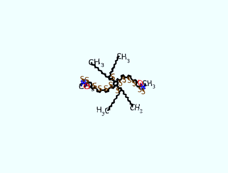 CCCCCCCCCCc1cc(-c2c3cc(-c4ccc(-c5ccc(-c6ccc(/C=C7/SC(=S)N(CC)C7=O)s6)s5)s4)sc3c(-c3cc(CCCCCCCCCC)c(CCCCCCCCCC)s3)c3cc(-c4ccc(-c5ccc(-c6ccc(/C=C7/SC(=S)N(CC)C7=O)s6)s5)s4)sc23)sc1CCCCCCCCCC